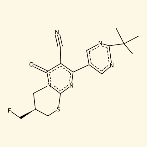 CC(C)(C)c1ncc(-c2nc3n(c(=O)c2C#N)C[C@H](CF)CS3)cn1